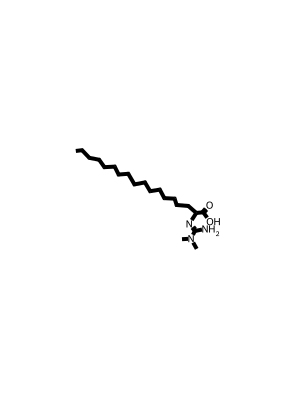 CCCCCCCCCCCCCCCCC(N=C(N)N(C)C)C(=O)O